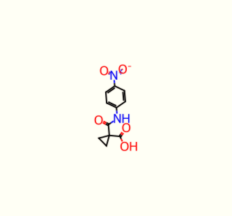 O=C(O)C1(C(=O)Nc2ccc([N+](=O)[O-])cc2)CC1